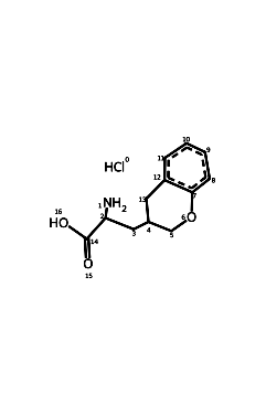 Cl.NC(CC1COc2ccccc2C1)C(=O)O